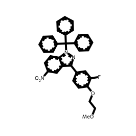 COCCOc1ccc(-c2nn(C(c3ccccc3)(c3ccccc3)c3ccccc3)c3ccc([N+](=O)[O-])cc23)cc1F